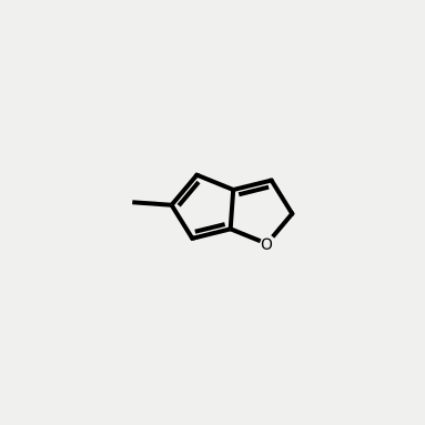 CC1=CC2=CCOC2=C1